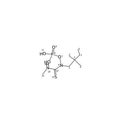 CCC(C)(C)CN(OP(=O)(O)O)C(=S)NC